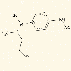 CC(C)CCC(C)N(N=O)c1ccc(NN=O)cc1